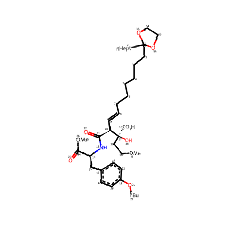 CCCCCCCC1(CCCCCC/C=C/[C@H](C(=O)N[C@@H](Cc2ccc(OCCCC)cc2)C(=O)OC)[C@@](O)(CCOC)C(=O)O)OCCO1